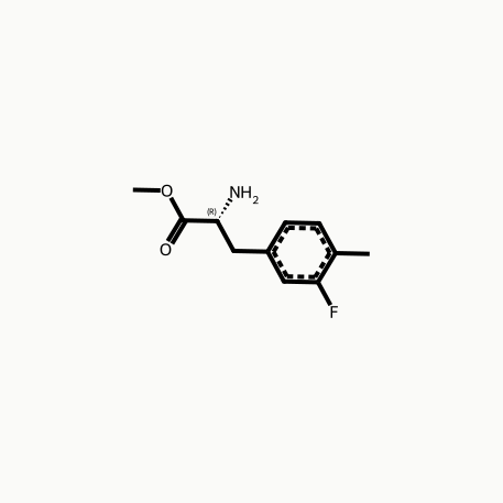 COC(=O)[C@H](N)Cc1ccc(C)c(F)c1